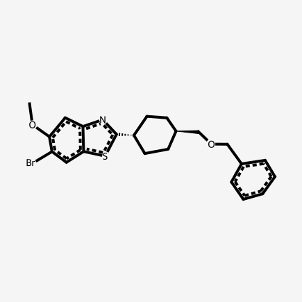 COc1cc2nc([C@H]3CC[C@H](COCc4ccccc4)CC3)sc2cc1Br